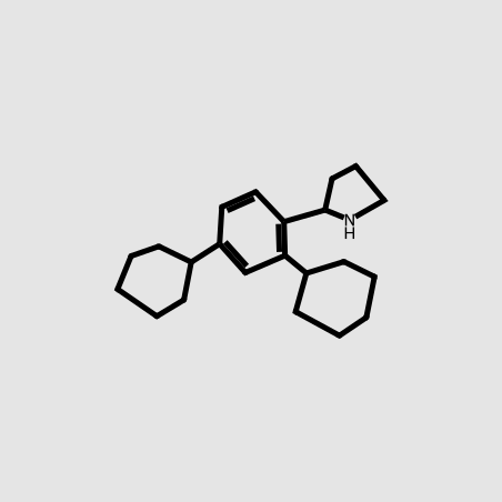 c1cc(C2CCCN2)c(C2CCCCC2)cc1C1CCCCC1